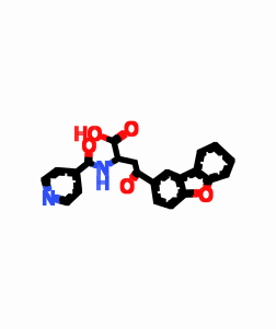 O=C(CC(NC(=O)c1ccncc1)C(=O)O)c1ccc2oc3ccccc3c2c1